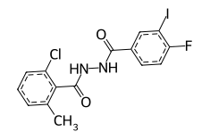 Cc1cccc(Cl)c1C(=O)NNC(=O)c1ccc(F)c(I)c1